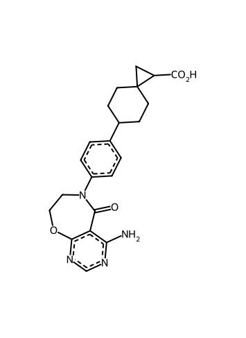 Nc1ncnc2c1C(=O)N(c1ccc(C3CCC4(CC3)CC4C(=O)O)cc1)CCO2